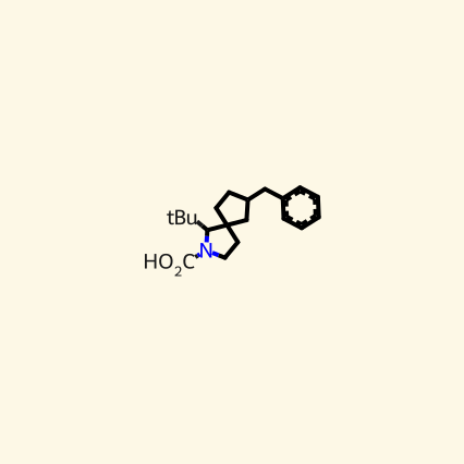 CC(C)(C)C1N(C(=O)O)CCC12CCC(Cc1ccccc1)C2